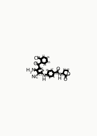 N#Cc1c(Nc2ccc(C(=O)NC3CCOC3=O)cc2)sc(C(=O)c2ccccc2Cl)c1N